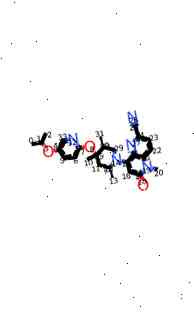 CC(C)Oc1ccc(OC2(C)C[C@H](C)N(c3cc(=O)n(C)c4ccc(C#N)nc34)C[C@@H]2C)nc1